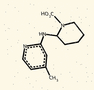 Cc1ccnc(NC2CCCCN2C(=O)O)c1